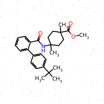 COC(=O)C1(C)CCC(C)(NC(=O)c2ccccc2-c2ccc(C(C)(C)C)cc2)CC1